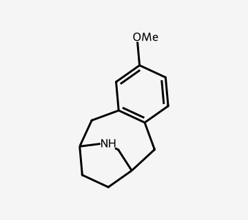 COc1ccc2c(c1)CC1CCC(CN1)C2